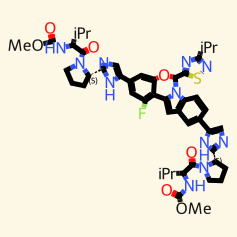 COC(=O)NC(C(=O)N1CCC[C@H]1c1ncc(-c2cc(F)c3c(c2)OC(c2nc(C(C)C)ns2)n2c-3cc3cc(-c4cnc([C@@H]5CCCN5C(=O)C(NC(=O)OC)C(C)C)[nH]4)ccc32)[nH]1)C(C)C